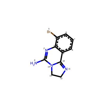 NC1=Nc2c(Br)cccc2C2=NCCN12